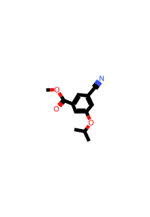 COC(=O)c1cc(C#N)cc(OC(C)C)c1